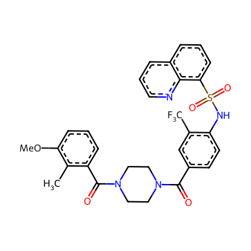 COc1cccc(C(=O)N2CCN(C(=O)c3ccc(NS(=O)(=O)c4cccc5cccnc45)c(C(F)(F)F)c3)CC2)c1C